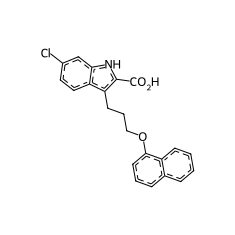 O=C(O)c1[nH]c2cc(Cl)ccc2c1CCCOc1cccc2ccccc12